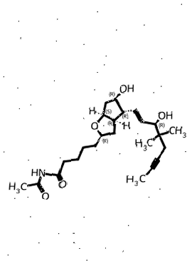 CC#CCC(C)(C)[C@H](O)C=C[C@@H]1[C@H]2C[C@@H](CCCCC(=O)NC(C)=O)O[C@H]2C[C@H]1O